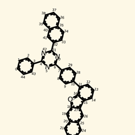 c1ccc(-c2nc(-c3ccc(-c4cccc5c4oc4cc6ccccc6cc45)cc3)nc(-c3ccc4ccccc4c3)n2)cc1